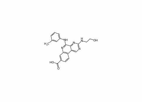 Cc1cccc(Nc2nc3cc(C(=O)O)ccc3c3cnc(NCCO)nc23)c1